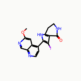 COc1cc2c(-c3[nH]c4c(c3I)C(=O)NCC4)ccnc2cn1